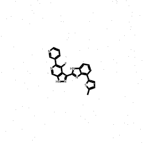 Cc1ccc(-c2cccc3[nH]c(-c4n[nH]c5cnc(-c6cccnc6)c(F)c45)nc23)s1